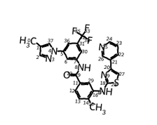 Cc1cnn(-c2cc(NC(=O)c3ccc(C)c(Nc4nc(-c5cccnc5)cs4)c3)cc(C(F)(F)F)c2)c1